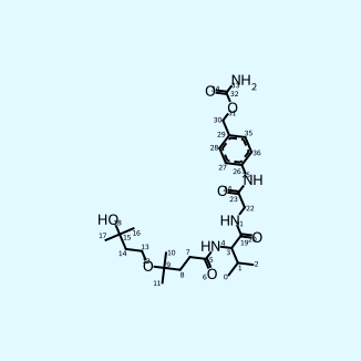 CC(C)C(NC(=O)CCC(C)(C)OCCC(C)(C)O)C(=O)NCC(=O)Nc1ccc(COC(N)=O)cc1